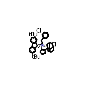 CC(C)(C)c1ccc2c(c1)[CH](/[Zr+2](=[CH]\Cc1ccccc1)[C]1=C(C34CC5CC(CC(C5)C3)C4)C=CC1)c1cc(C(C)(C)C)ccc1-2.[Cl-].[Cl-]